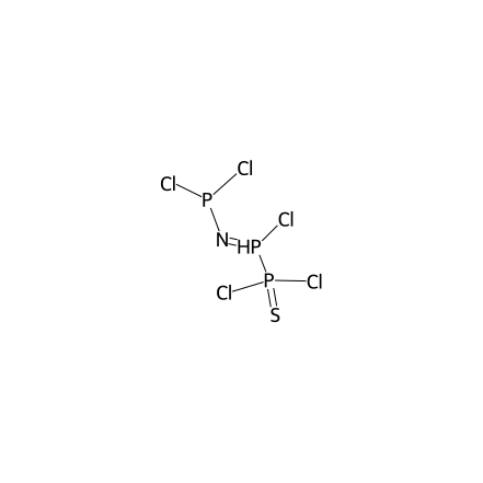 S=P(Cl)(Cl)/[PH](Cl)=N/P(Cl)Cl